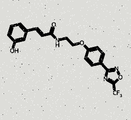 O=C(C=Cc1cccc(O)c1)NCCOc1ccc(-c2noc(C(F)(F)F)n2)cc1